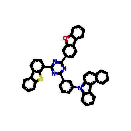 c1cc(-c2nc(-c3ccc4c(c3)oc3ccccc34)nc(-c3cccc4c3sc3ccccc34)n2)cc(-n2c3ccccc3c3c4ccccc4ccc32)c1